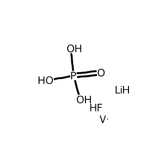 F.O=P(O)(O)O.[LiH].[V]